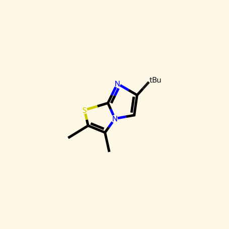 Cc1sc2nc(C(C)(C)C)cn2c1C